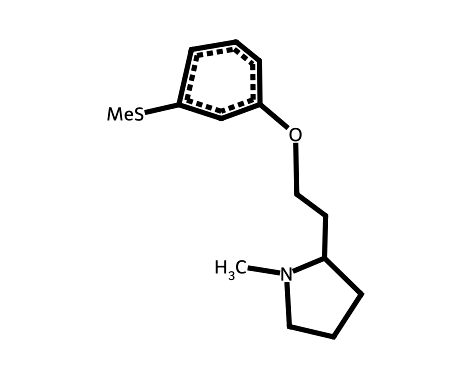 CSc1cccc(OCCC2CCCN2C)c1